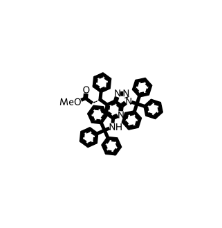 COC(=O)C[C@H](c1ccccc1)c1cc(NC(c2ccccc2)(c2ccccc2)c2ccccc2)nc2c1nnn2C(c1ccccc1)(c1ccccc1)c1ccccc1